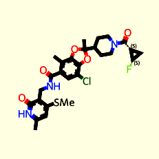 CSc1cc(C)[nH]c(=O)c1CNC(=O)c1cc(Cl)c2c(c1C)OC(C)(C1CCN(C(=O)[C@@H]3C[C@@H]3F)CC1)O2